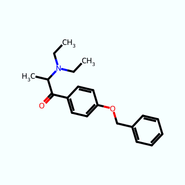 CCN(CC)C(C)C(=O)c1ccc(OCc2ccccc2)cc1